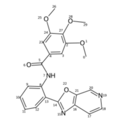 COc1cc(C(=O)Nc2ccccc2-c2nc3ccncc3o2)cc(OC)c1OC